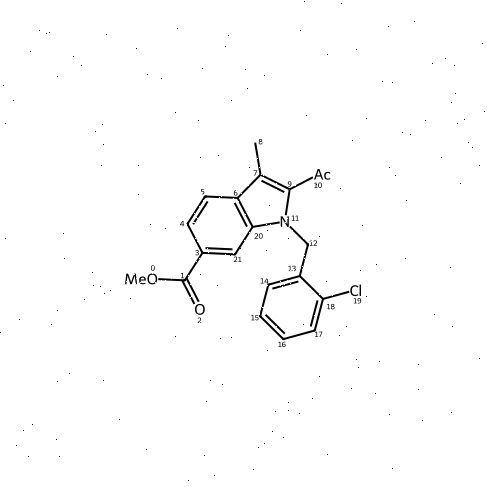 COC(=O)c1ccc2c(C)c(C(C)=O)n(Cc3ccccc3Cl)c2c1